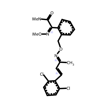 CNC(=O)/C(=N\OC)c1ccccc1CO/N=C(C)/C=C/c1c(Cl)cccc1Cl